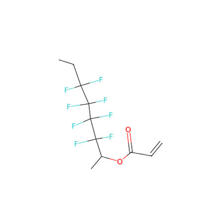 C=CC(=O)OC(C)C(F)(F)C(F)(F)C(F)(F)C(F)(F)CC